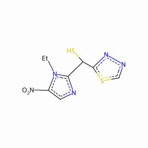 CCn1c([N+](=O)[O-])cnc1C(S)c1nncs1